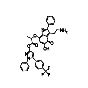 CC(OC1=C2N=C(c3ccccc3)C(CCN)=C2C(=O)C(O)=C1)C(=O)Oc1cc(-c2ccc(C(F)(F)F)cc2)n(-c2ccccc2)n1